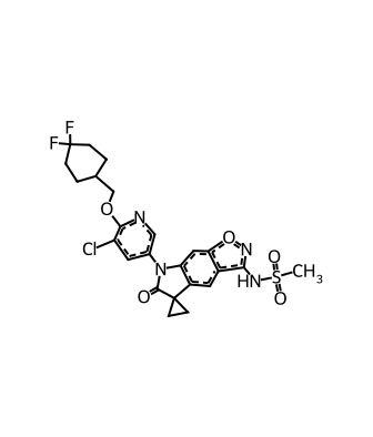 CS(=O)(=O)Nc1noc2cc3c(cc12)C1(CC1)C(=O)N3c1cnc(OCC2CCC(F)(F)CC2)c(Cl)c1